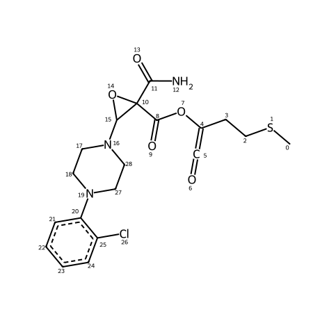 CSCCC(=C=O)OC(=O)C1(C(N)=O)OC1N1CCN(c2ccccc2Cl)CC1